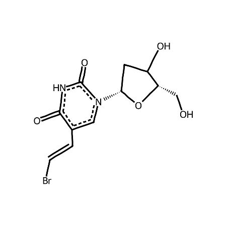 O=c1[nH]c(=O)n([C@@H]2CC(O)[C@H](CO)O2)cc1/C=C/Br